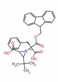 CC(C)(C)C1C(C(=O)O)N1[C@@](Cc1ccccc1)(C(=O)O)C(=O)OCC1c2ccccc2-c2ccccc21